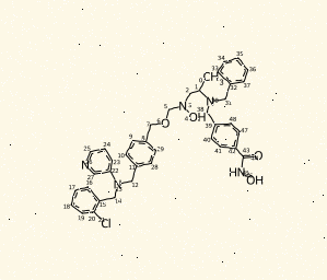 CC(CN(O)COCc1ccc(CN(Cc2ccccc2Cl)c2cccnc2)cc1)N(Cc1ccccc1)Cc1ccc(C(=O)NO)cc1